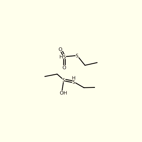 CCS[SH](=O)=O.CC[SH]=S(O)CC